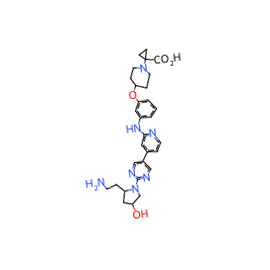 NCCC1CC(O)CN1c1ncc(-c2ccnc(Nc3cccc(OC4CCN(C5(C(=O)O)CC5)CC4)c3)c2)cn1